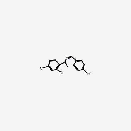 CC(C)c1ccc(/C=N\C(C)c2ccc(Cl)cc2Cl)cc1